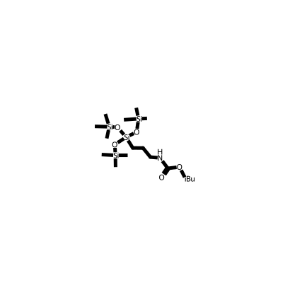 CCC(C)OC(=O)NCCC[Si](O[Si](C)(C)C)(O[Si](C)(C)C)O[Si](C)(C)C